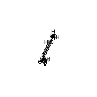 COc1ccc(NC(=O)[C@@H](NC(=O)[C@@H]2CCCN2C(=O)OCc2ccccc2)c2ccc(OCCOCCOCCOCCOCCOCCNC(=O)CCCC[C@@H]3SC[C@@H]4NC(=O)N[C@@H]43)cc2)cc1